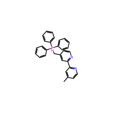 Cc1ccnc(-c2cc(C[PH](c3ccccc3)(c3ccccc3)c3ccccc3)ccn2)c1